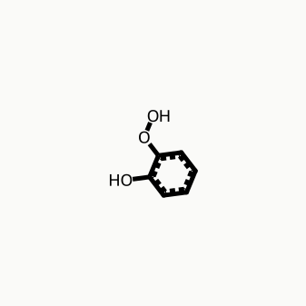 OOc1ccccc1O